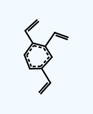 C=Cc1ccc(C=C)c(C=C)c1